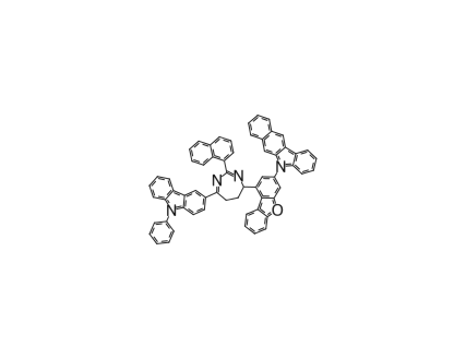 c1ccc(-n2c3ccccc3c3cc(C4=NC(c5cccc6ccccc56)=NC(c5cc(-n6c7ccccc7c7cc8ccccc8cc76)cc6oc7ccccc7c56)CC4)ccc32)cc1